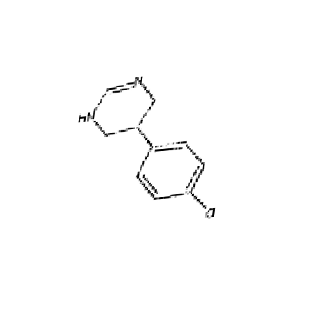 Clc1ccc(C2CN=CNC2)cc1